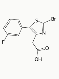 O=C(O)Cc1nc(Br)sc1-c1cccc(F)c1